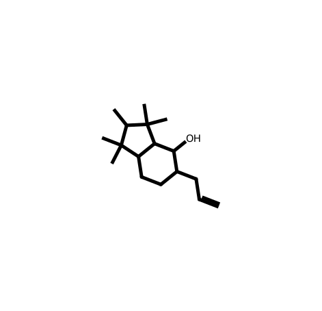 C=CCC1CCC2C(C1O)C(C)(C)C(C)C2(C)C